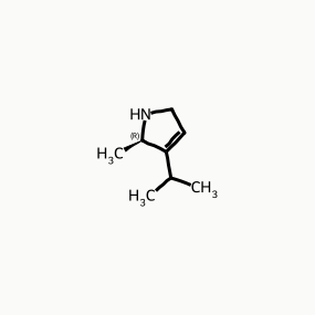 CC(C)C1=CCN[C@@H]1C